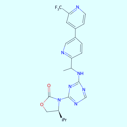 CC(Nc1ncnc(N2C(=O)OC[C@@H]2C(C)C)n1)c1ccc(-c2ccnc(C(F)(F)F)c2)cn1